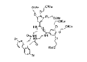 COCCOc1cc(C(=O)NCCNC(=O)CCC2(CCC(=O)NCCNC(=O)c3cc(OCCOC)c(OCCOC)c(OCCOC)c3)c3cc(Br)ccc3-c3ccc(Br)cc32)cc(OCCOC)c1OCCOC